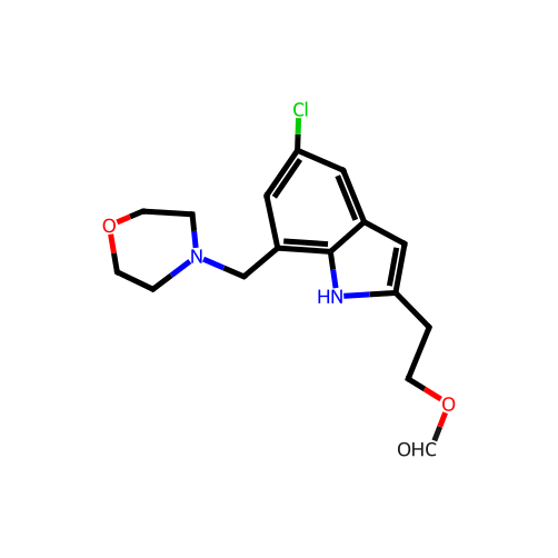 O=COCCc1cc2cc(Cl)cc(CN3CCOCC3)c2[nH]1